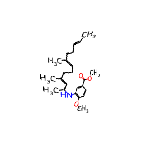 C/C=C/CC/C(C)=C/CC/C(C)=C/C(C)Nc1cc(C(=O)OC)ccc1OC